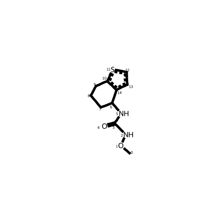 CONC(=O)NC1CCCc2sccc21